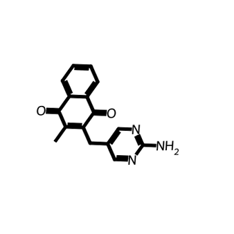 CC1=C(Cc2cnc(N)nc2)C(=O)c2ccccc2C1=O